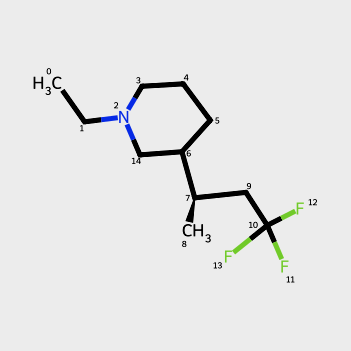 CCN1CCCC([C@H](C)CC(F)(F)F)C1